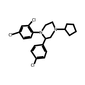 Clc1ccc(C2CN(C3CCCC3)CCN2c2ccc(Cl)cc2Cl)cc1